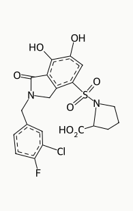 O=C(O)C1CCCN1S(=O)(=O)c1cc(O)c(O)c2c1CN(Cc1ccc(F)c(Cl)c1)C2=O